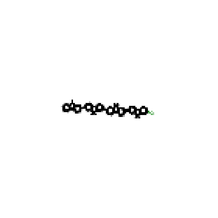 CC1c2ccccc2-c2ccc(-c3ccc4c(c3)C(C)(C)c3cc(-c5ccc6c(c5)C(C)(C)c5cc(-c7ccc8c(c7)C(C)(C)c7cc(Br)ccc7-8)ccc5-6)ccc3-4)cc21